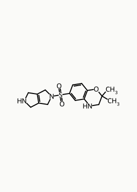 CC1(C)CNc2cc(S(=O)(=O)N3CC4=C(CNC4)C3)ccc2O1